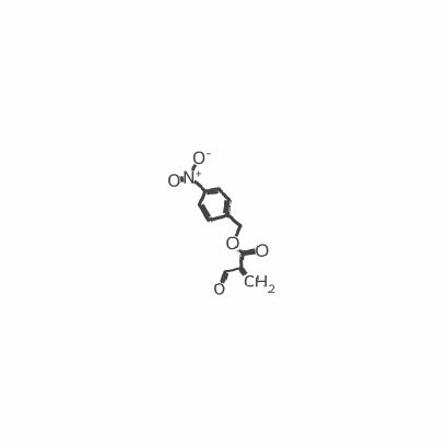 C=C(C=O)C(=O)OCc1ccc([N+](=O)[O-])cc1